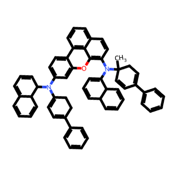 CC1(N(C2=CC=CC3C=CC=CC23)c2ccc3cccc4c3c2Oc2cc(N(C3=CC=C(c5ccccc5)CC3)C3C=CC=C5C=CC=CC53)ccc2-4)C=CC(c2ccccc2)=CC1